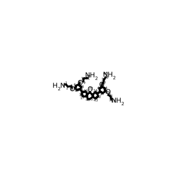 NCCCOc1cc(OCCCN)cc(-c2ccc3c(c2)C(=O)c2cc(-c4cc(OCCCN)cc(OCCCN)c4)ccc2CC3)c1